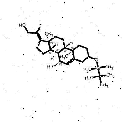 C[C@H]1C=C2CC(O[Si](C)(C)C(C)(C)C)CC[C@]2(C)[C@H]2CC[C@]3(C)C(=C(F)CO)CC[C@H]3[C@H]12